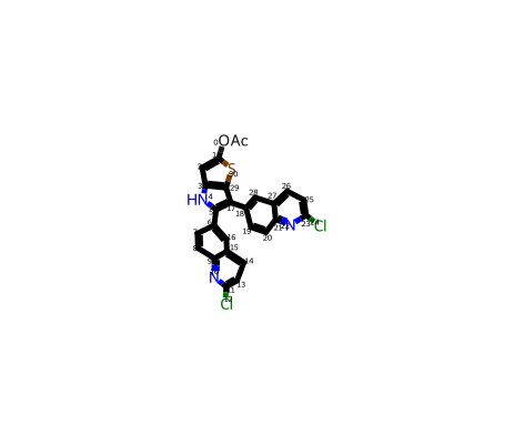 CC(=O)Oc1cc2[nH]c(-c3ccc4nc(Cl)ccc4c3)c(-c3ccc4nc(Cl)ccc4c3)c2s1